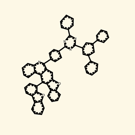 c1ccc(-c2cc(-c3ccccc3)cc(-c3nc(-c4ccccc4)nc(-c4ccc(-c5nc6ccccc6c6c(-c7cccc8c7oc7ccccc78)c7c(cc56)oc5ccccc57)cc4)n3)c2)cc1